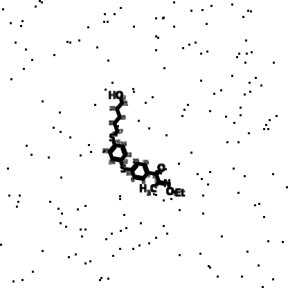 CCO/N=C(\C)C(=O)c1ccc(Sc2ccc(SCCCCCO)cc2)cc1